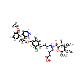 CC(=O)O[C@@H]1O[C@H](C(=O)N(CCCCO)CCCCc2cc(Cl)c(COC3(c4cnccc4-c4ccccc4OC4CC4)CC3)cc2Cl)[C@@H](C)[C@H](OC(C)=O)[C@H]1OC(C)=O